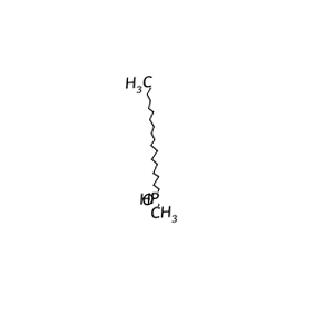 CCCCCCCCCCCCCCCCCC[PH](=O)CC